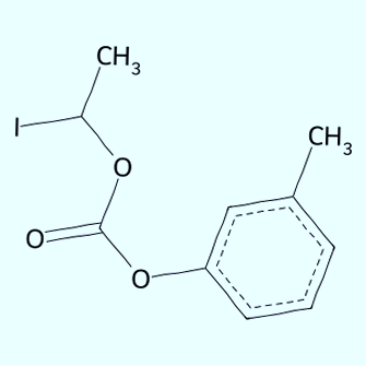 Cc1cccc(OC(=O)OC(C)I)c1